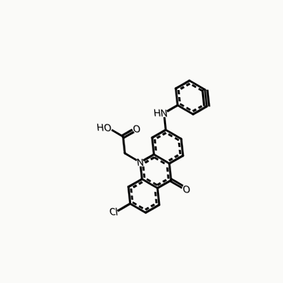 O=C(O)Cn1c2cc(Cl)ccc2c(=O)c2ccc(Nc3cc#ccc3)cc21